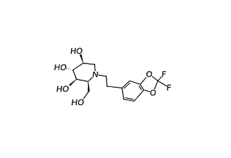 OC[C@H]1[C@@H](O)[C@H](O)[C@@H](O)CN1CCc1ccc2c(c1)OC(F)(F)O2